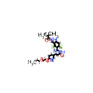 CCCOCCOc1ccc(-c2cc(=O)[nH]c(-c3c(F)ccc(CNC(=O)C(C)C)c3F)n2)cn1